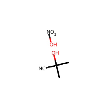 CC(C)(O)C#N.O=[N+]([O-])O